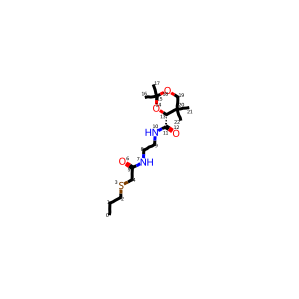 CCCSCC(=O)NCCNC(=O)[C@@H]1OC(C)(C)OCC1(C)C